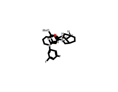 COc1cc(N2CC3CC[C@@H](C2)[C@@H]3Nc2nc3n(n2)CCCN3c2cc(F)cc(F)c2)ccn1